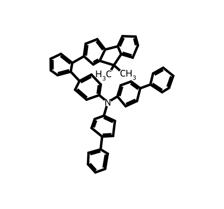 CC1(C)c2ccccc2-c2ccc(-c3ccccc3-c3ccc(N(c4ccc(-c5ccccc5)cc4)c4ccc(-c5ccccc5)cc4)cc3)cc21